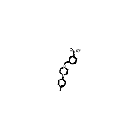 Cc1ccc(N2CCN(Cc3cccc([N+](=O)[O-])c3)CC2)cc1